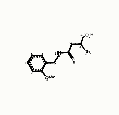 COc1ccccc1CNC(=O)CC(N)C(=O)O